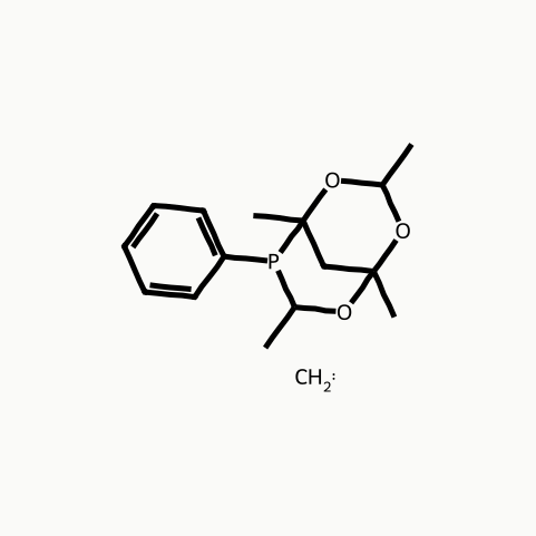 CC1OC2(C)CC(C)(O1)P(c1ccccc1)C(C)O2.[CH2]